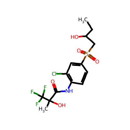 CCC(O)CS(=O)(=O)c1ccc(NC(=O)C(C)(O)C(F)(F)F)c(Cl)c1